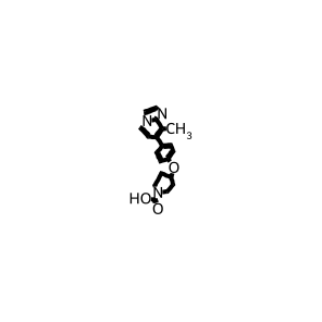 Cc1c(-c2ccc(OC3CCN(C(=O)O)CC3)cc2)ccn2ccnc12